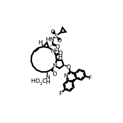 O=C(O)N[C@H]1CCCCC/C=C\[C@@H]2C[C@@]2(C(=O)NS(=O)(=O)C2CC2)NC(=O)[C@@H]2C[C@@H](Oc3nc4cc(F)ccc4c4cc(F)ccc34)CN2C1=O